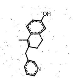 CC1=C(Cc2cccnc2)CCc2cc(O)ccc21